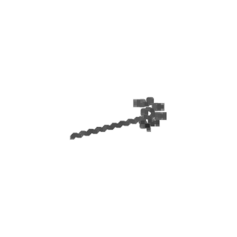 CCCCCCCCCCCCCCCCCCOC1O[C@H](C(=O)O)[C@@H](O)[C@H](O)[C@H]1NC(C)=O